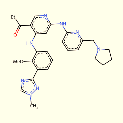 CCC(=O)c1cnc(Nc2cccc(CN3CCCC3)n2)cc1Nc1cccc(-c2ncn(C)n2)c1OC